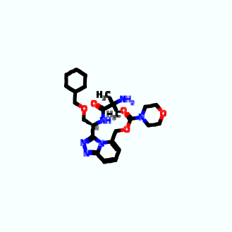 CC(C)(N)C(=O)N[C@H](COCC1CCCCC1)c1nnc2cccc(COC(=O)N3CCOCC3)n12